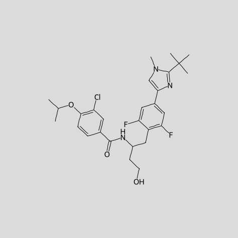 CC(C)Oc1ccc(C(=O)NC(CCO)Cc2c(F)cc(-c3cn(C)c(C(C)(C)C)n3)cc2F)cc1Cl